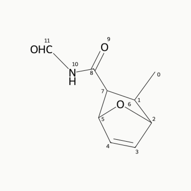 CC1C2C=CC(O2)C1C(=O)NC=O